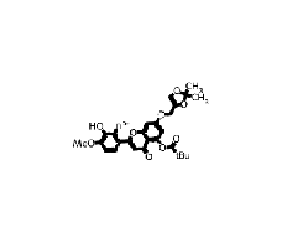 CCCc1c(-c2cc(=O)c3c(OC(=O)C(C)(C)C)cc(OCC4=COC(C)(C)O4)cc3o2)ccc(OC)c1O